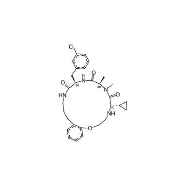 C[C@@H]1C(=O)N[C@H](Cc2cccc(Cl)c2)C(=O)NCCCc2ccccc2OCCN[C@@H](C2CC2)C(=O)N1C